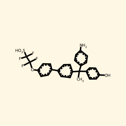 CC(c1ccc(N)cc1)(c1ccc(O)cc1)c1ccc(-c2ccc(OC(F)(F)C(F)(F)S(=O)(=O)O)cc2)cc1